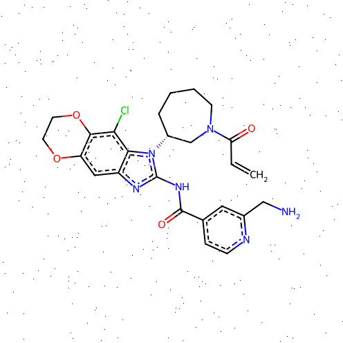 C=CC(=O)N1CCCC[C@@H](n2c(NC(=O)c3ccnc(CN)c3)nc3cc4c(c(Cl)c32)OCCO4)C1